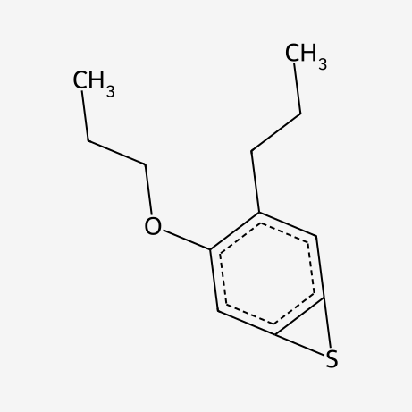 CCCOc1cc2c(cc1CCC)S2